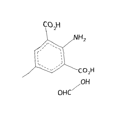 Cc1cc(C(=O)O)c(N)c(C(=O)O)c1.O=CO